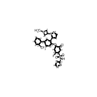 CN1CC(n2nccc2-c2cc(-c3ccccc3C(F)(F)F)ccc2Oc2cc(F)c(S(=O)(=O)Nc3nncs3)cc2Cl)C1